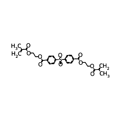 C=C(C)C(=O)OCCOC(=O)c1ccc(S(=O)(=O)c2ccc(C(=O)OCCOC(=O)C(=C)C)cc2)cc1